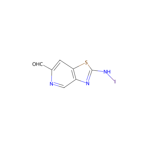 O=Cc1cc2sc(NI)nc2cn1